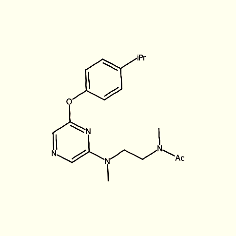 CC(=O)N(C)CCN(C)c1cncc(Oc2ccc(C(C)C)cc2)n1